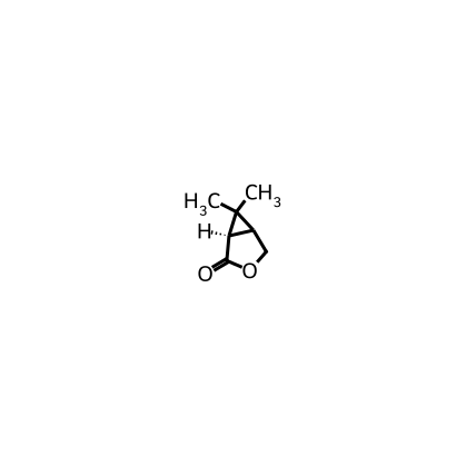 CC1(C)C2COC(=O)[C@H]21